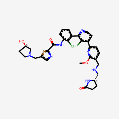 COc1nc(-c2ccnc(-c3cccc(NC(=O)c4ncc(CN5CC[C@@H](O)C5)s4)c3Cl)c2Cl)ccc1CNC[C@@H]1CCC(=O)N1